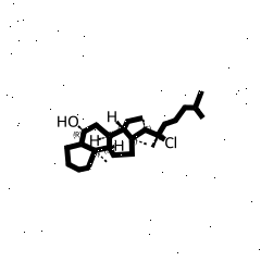 CC(C)CCC[C@](C)(Cl)[C@H]1CC[C@H]2[C@@H]3C[C@@H](O)C4CCCC[C@]4(C)[C@H]3CC[C@@]21C